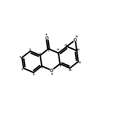 O=c1c2ccccc2oc2ccc3c(c12)O3